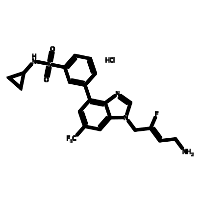 Cl.NC/C=C(\F)Cn1cnc2c(-c3cccc(S(=O)(=O)NC4CC4)c3)cc(C(F)(F)F)cc21